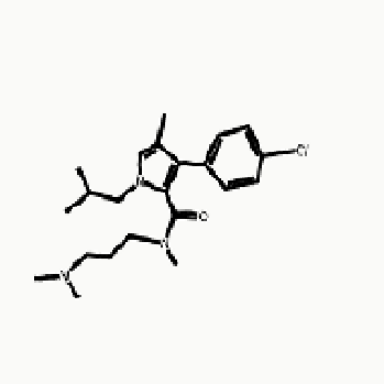 Cc1cn(CC(C)C)c(C(=O)N(C)CCCN(C)C)c1-c1ccc(Cl)cc1